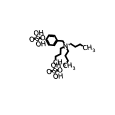 CCCC[N+](CCCC)(CCCC)Cc1ccccc1.O=S(=O)(O)O.O=S(=O)(O)O